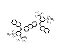 C[Si](C)(C)c1cc(N(c2ccc3ccccc3c2)c2ccc3cc4cc(N(c5cc([Si](C)(C)C)cc([Si](C)(C)C)c5)c5ccc6ccccc6c5)ccc4cc3c2)cc([Si](C)(C)C)c1